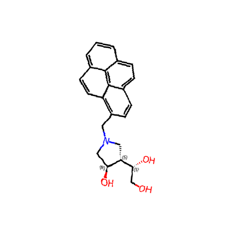 OC[C@@H](O)[C@H]1CN(Cc2ccc3ccc4cccc5ccc2c3c45)C[C@@H]1O